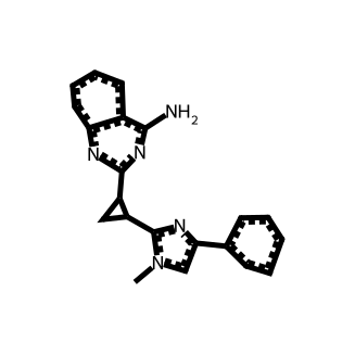 Cn1cc(-c2ccccc2)nc1C1CC1c1nc(N)c2ccccc2n1